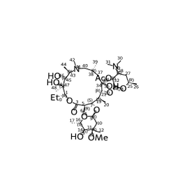 CC[C@H]1OC(=O)[C@H](C)[C@@H](O[C@H]2C[C@@](C)(OC)[C@@H](O)[C@H](C)O2)[C@H](C)[C@@H](O[C@@H]2O[C@H](C)C[C@H](N(C)C)[C@H]2OC(C)=O)[C@](C)(O)C[C@@H](C)CN(C)[C@H](C)[C@@H](O)[C@]1(C)O